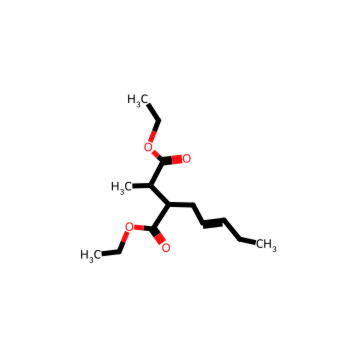 CCC=CCC(C(=O)OCC)C(C)C(=O)OCC